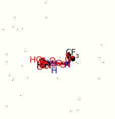 CN(CCOCCOCCNC(=O)[C@@H]1CC1CN1CC[C@]23c4c5ccc(O)c4O[C@H]2C(=O)CC[C@@]3(O)[C@H]1C5)CCC(Oc1ccc(C(F)(F)F)cc1)c1ccccc1